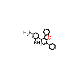 Bc1ccc(-c2ccc(-c3ccccc3)c3oc4ccccc4c23)c(B)c1